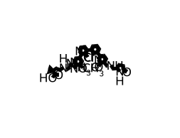 COc1nc(-c2cccc(-c3ccnc(-c4cc(OC)c5nc(CNCCC6(C(=O)O)CC6)nn5c4)c3Cl)c2Cl)ccc1CNCC1CCC(=O)N1